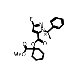 COC(=O)C1(OC(=O)c2cc(F)nn2[C@H](C)c2ccccc2)CCCCC1